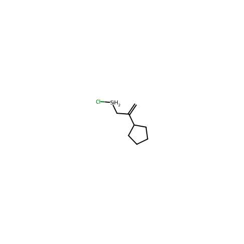 C=C(C[SiH2]Cl)C1CCCC1